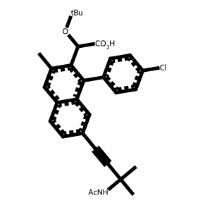 CC(=O)NC(C)(C)C#Cc1ccc2cc(C)c(C(OC(C)(C)C)C(=O)O)c(-c3ccc(Cl)cc3)c2c1